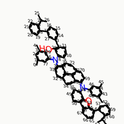 Cc1cc(C)cc(N(c2cccc(-c3cccc(-c4ccccc4C(C)C)c3)c2O)c2ccc3ccc4c(N(c5cc(C)cc(C)c5)c5cccc6c5oc5c(-c7ccccc7C(C)C)cccc56)ccc5ccc2c3c54)c1